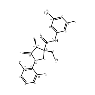 Cc1cc(NC(=O)[C@]2(CC(C)C)CN(c3c(C)cccc3C)C(=O)[C@H]2C)cc(C(F)(F)F)c1